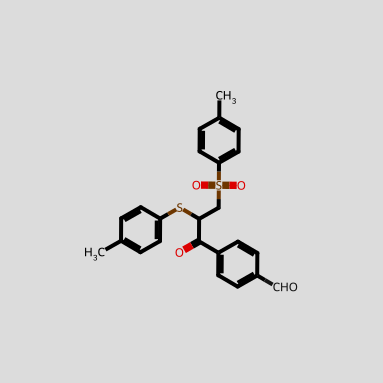 Cc1ccc(SC(CS(=O)(=O)c2ccc(C)cc2)C(=O)c2ccc(C=O)cc2)cc1